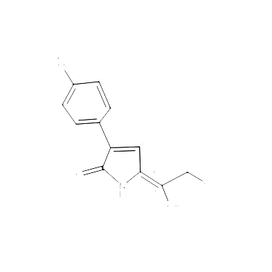 C=c1[nH]/c(=C(\C)CC)cc1-c1ccc(O)cc1